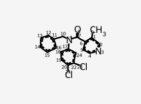 Cc1cnccc1C(=O)N(Cc1ccccc1)c1ccc(Cl)c(Cl)c1